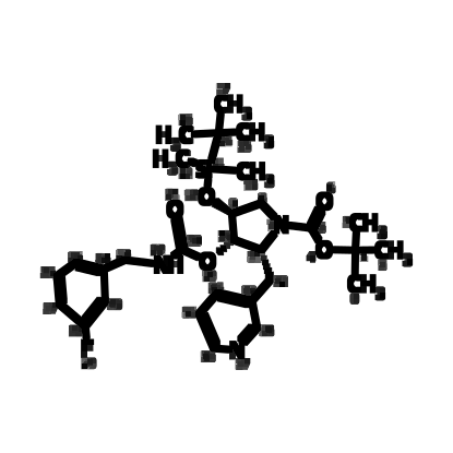 CC(C)(C)OC(=O)N1C[C@H](O[Si](C)(C)C(C)(C)C)[C@@H](OC(=O)NCc2cccc(F)c2)[C@H]1Cc1cccnc1